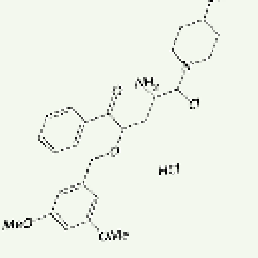 COc1cc(COC(CC(N)C(Cl)N2CCC(O)CC2)C(=O)c2ccccc2)cc(OC)c1.Cl